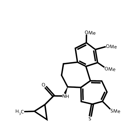 COc1cc2c(c(OC)c1OC)-c1ccc(SC)c(=S)cc1[C@@H](NC(=O)C1CC1C)CC2